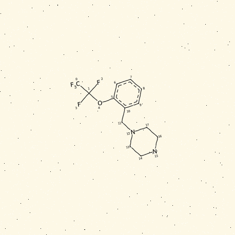 FC(F)(F)C(F)(F)Oc1ccccc1CN1CC[N]CC1